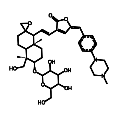 CN1CCN(c2ccc(/C=C3C=C(/C=C/C4C5(CCC6[C@]4(C)CC[C@@H](OC4OC(CO)C(O)C(O)C4O)[C@@]6(C)CO)CO5)C(=O)O\3)cc2)CC1